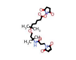 CC(C)(CCOC(C)(C)CCCCC(=O)ON1C(=O)CCC1=O)NC(=O)CCN1C(=O)C=CC1=O